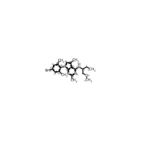 CCC(COC)Nc1nc(C)nc2c1c(C)cn2-c1c(C)cc(Br)cc1C